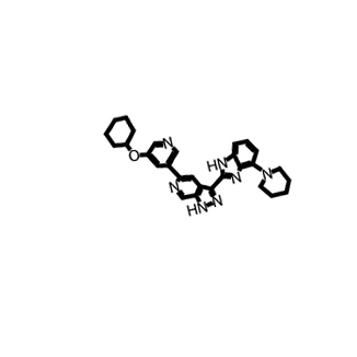 c1cc(N2CCCCC2)c2nc(-c3n[nH]c4cnc(-c5cncc(OC6CCCCC6)c5)cc34)[nH]c2c1